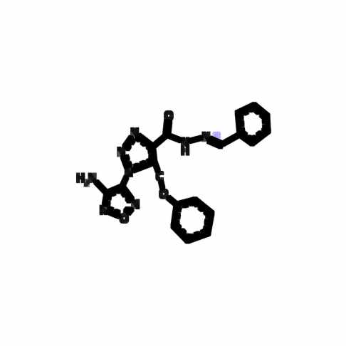 Nc1nonc1-n1nnc(C(=O)N/N=C/c2ccccc2)c1COc1ccccc1